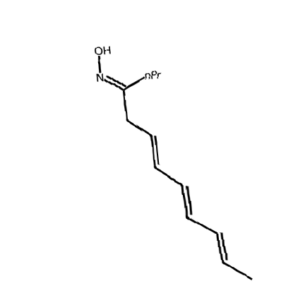 C/C=C/C=C/C=C/C/C(CCC)=N/O